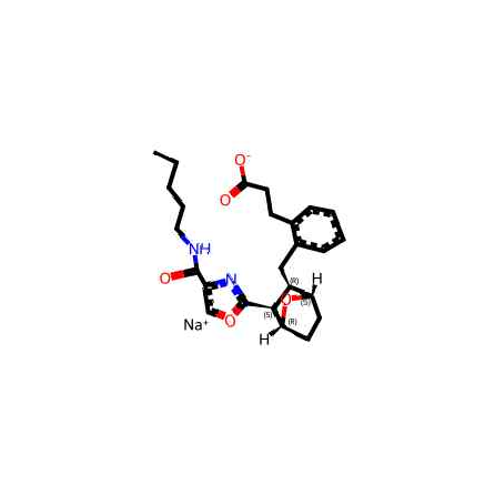 CCCCCNC(=O)c1coc([C@H]2[C@@H](Cc3ccccc3CCC(=O)[O-])[C@@H]3CC[C@H]2O3)n1.[Na+]